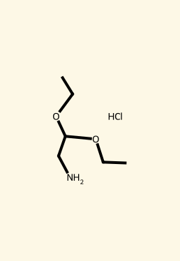 CCOC(CN)OCC.Cl